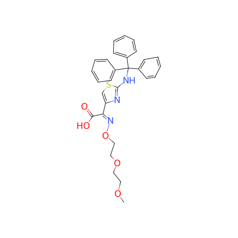 COCCOCCON=C(C(=O)O)c1csc(NC(c2ccccc2)(c2ccccc2)c2ccccc2)n1